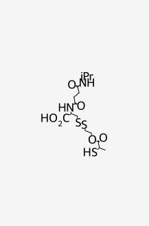 CC(C)NC(=O)CCC(=O)NC(CSSCCOC(=O)C(C)S)C(=O)O